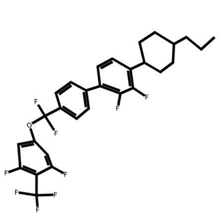 CCCC1CCC(c2ccc(-c3ccc(C(F)(F)Oc4cc(F)c(C(F)(F)F)c(F)c4)cc3)c(F)c2F)CC1